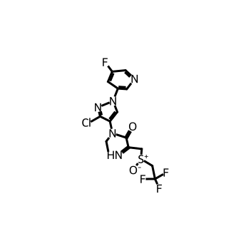 CCN(C(=O)C(=N)C[S+]([O-])CC(F)(F)F)c1cn(-c2cncc(F)c2)nc1Cl